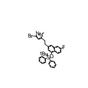 Cn1nc(Br)cc1CCc1cc(O[Si](c2ccccc2)(c2ccccc2)C(C)(C)C)c2ccc(F)cc2c1